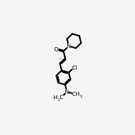 CN(C)c1ccc(/C=C/C(=O)N2CCCCC2)c(Cl)c1